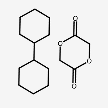 C1CCC(C2CCCCC2)CC1.O=C1COC(=O)CO1